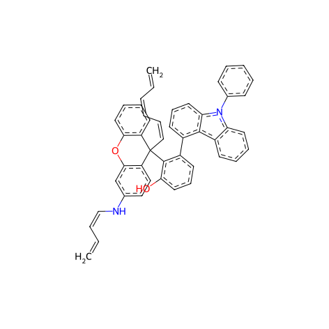 C=C/C=C\C=C/C1(c2c(O)cccc2-c2cccc3c2c2ccccc2n3-c2ccccc2)c2ccccc2Oc2cc(N/C=C\C=C)ccc21